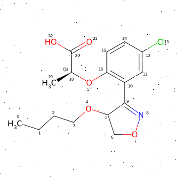 CCCCOC1CON=C1c1cc(Cl)ccc1O[C@@H](C)C(=O)O